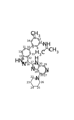 Cc1cc(NC(C)C)cc(-c2ccc3[nH]nc(-c4nc5c(N6CCCCC6)cncc5[nH]4)c3c2)c1